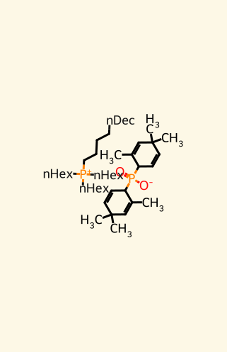 CC1=CC(C)(C)C=CC1P(=O)([O-])C1C=CC(C)(C)C=C1C.CCCCCCCCCCCCCC[P+](CCCCCC)(CCCCCC)CCCCCC